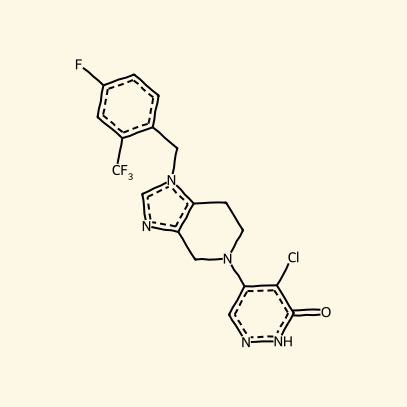 O=c1[nH]ncc(N2CCc3c(ncn3Cc3ccc(F)cc3C(F)(F)F)C2)c1Cl